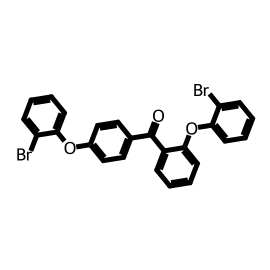 O=C(c1ccc(Oc2ccccc2Br)cc1)c1ccccc1Oc1ccccc1Br